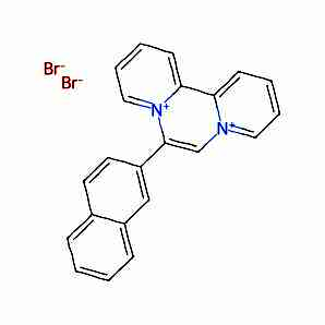 [Br-].[Br-].c1ccc2cc(-c3c[n+]4ccccc4c4cccc[n+]34)ccc2c1